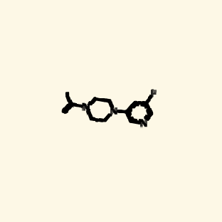 C=C(C)N1CCN(c2cncc(F)c2)CC1